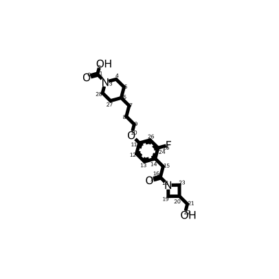 O=C(O)N1CCC(CCCOc2ccc(CC(=O)N3CC(CO)C3)c(F)c2)CC1